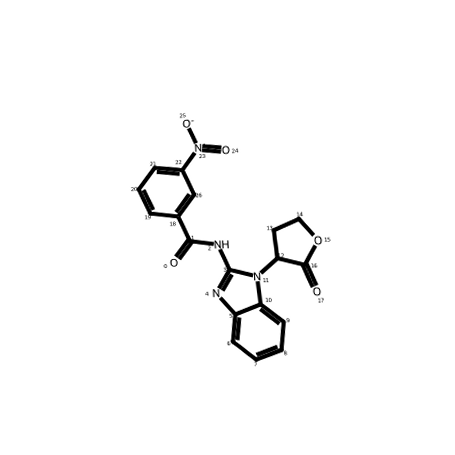 O=C(Nc1nc2ccccc2n1C1CCOC1=O)c1cccc([N+](=O)[O-])c1